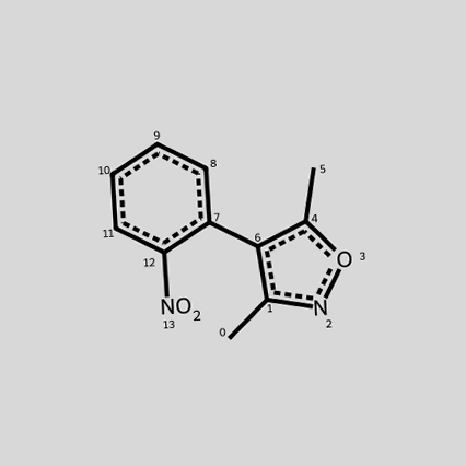 Cc1noc(C)c1-c1ccccc1[N+](=O)[O-]